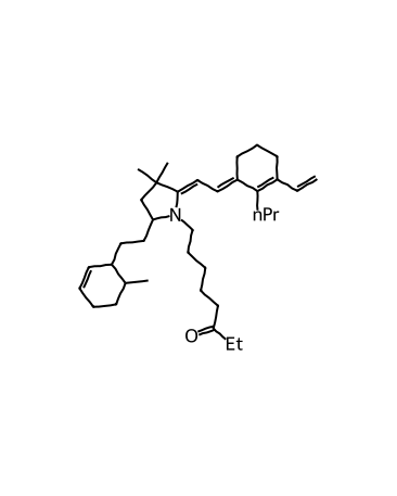 C=CC1=C(CCC)/C(=C/C=C2\N(CCCCCC(=O)CC)C(CCC3C=CCCC3C)CC2(C)C)CCC1